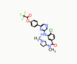 CN1CCC(N(C)C(=O)c2ccc(Cl)c(Nc3cncc(-c4ccc(OC(=O)C(F)(F)F)cc4)n3)c2)C1